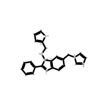 c1ccc(-c2nc3ccc(Cn4ccnc4)cc3n2OCc2cccs2)cc1